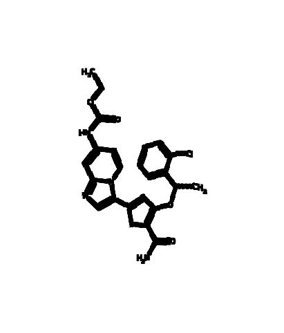 CCOC(=O)Nc1ccn2c(-c3cc(OC(C)c4ccccc4Cl)c(C(N)=O)s3)cnc2c1